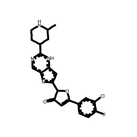 CC1CC(c2ncc3nc(C4OC(c5ccc(F)c(Cl)c5)=CC4=O)cc-3[nH]2)CCN1